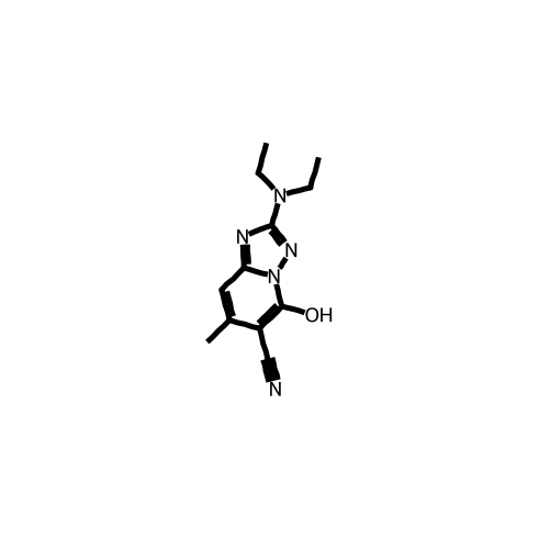 CCN(CC)c1nc2cc(C)c(C#N)c(O)n2n1